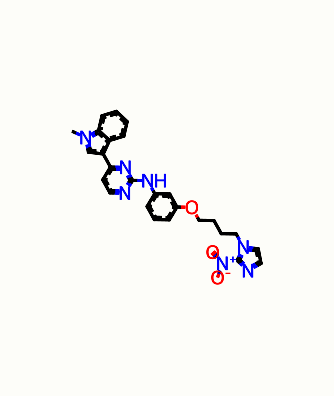 Cn1cc(-c2ccnc(Nc3cccc(OCCCCn4ccnc4[N+](=O)[O-])c3)n2)c2ccccc21